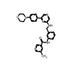 Cc1cncc(C(=O)Nc2cccc(CNc3cncc(-c4ccc(N5CCOCC5)cc4)n3)c2)c1